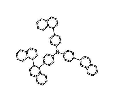 c1ccc2cc(-c3ccc(N(c4ccc(-c5cccc6ccccc56)cc4)c4ccc(-c5c(-c6cccc7ccccc67)ccc6ccccc56)cc4)cc3)ccc2c1